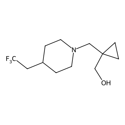 OCC1(CN2CCC(CC(F)(F)F)CC2)CC1